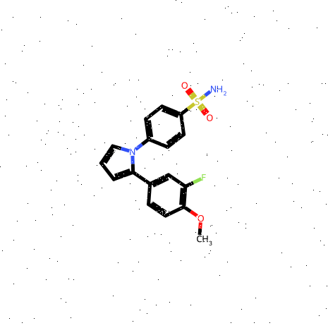 COc1ccc(-c2cccn2-c2ccc(S(N)(=O)=O)cc2)cc1F